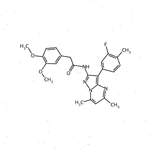 COc1ccc(CC(=O)Nc2nn3c(C)cc(C)nc3c2-c2ccc(C)c(F)c2)cc1OC